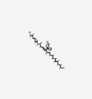 CCCCCCCCCCCCN(CCCCCCCCCCCC)C(=O)OCC